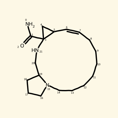 NC(=O)C12CC1/C=C\CCCCCCCN1CCCC1CN2